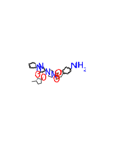 CC1CCC(Oc2c(N3CCN(S(=O)(=O)Cc4ccc(N)cc4)CC3)cnn(-c3ccccc3)c2=O)C1